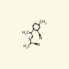 C=C(C#N)/N=C/C(=C)c1ccc(C)cc1C#N